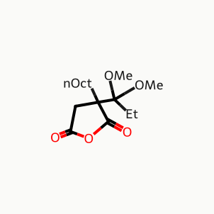 CCCCCCCCC1(C(CC)(OC)OC)CC(=O)OC1=O